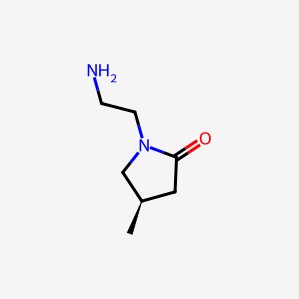 C[C@@H]1CC(=O)N(CCN)C1